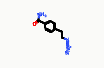 [N-]=[N+]=NCCc1ccc(C(N)=O)cc1